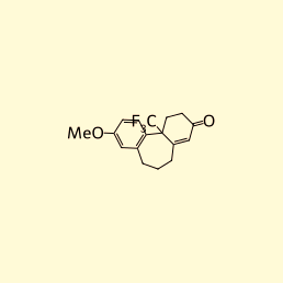 COc1ccc2c(c1)CCCC1=CC(=O)CCC12C(F)(F)F